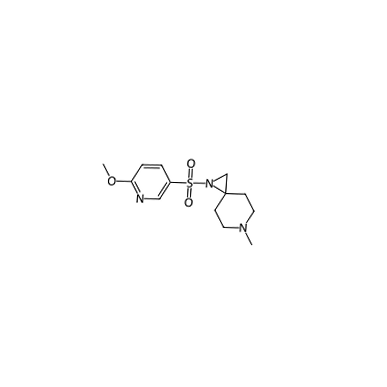 COc1ccc(S(=O)(=O)N2CC23CCN(C)CC3)cn1